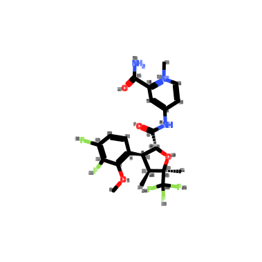 COc1c([C@H]2[C@H](C(=O)Nc3cc[n+](C)c(C(N)=O)c3)O[C@@](C)(C(F)(F)F)[C@H]2C)ccc(F)c1F